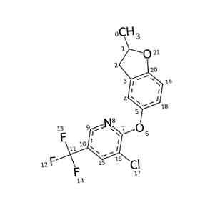 CC1Cc2cc(Oc3ncc(C(F)(F)F)cc3Cl)ccc2O1